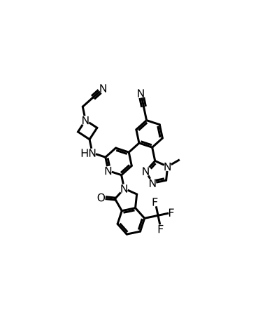 Cn1cnnc1-c1ccc(C#N)cc1-c1cc(NC2CN(CC#N)C2)nc(N2Cc3c(cccc3C(F)(F)F)C2=O)c1